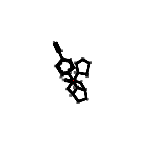 C#Cc1ccc(N2CC3CCC(C2)N3C(=O)C2CCCO2)nc1